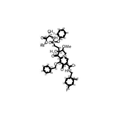 COC1Cn2cc(C(=O)NCc3ccc(F)cc3F)c(=O)c(OCc3ccccc3)c2C(=O)C1(C)CCP(=O)(N[C@@H](C)C(=O)OC(C)C)Oc1ccccc1